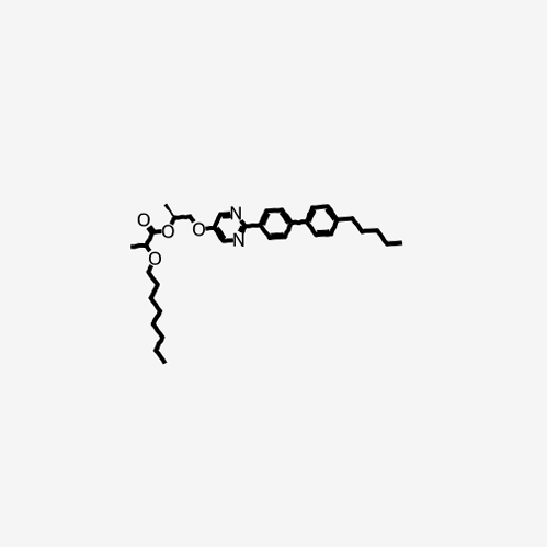 CCCCCCCCOC(C)C(=O)O[C@@H](C)COc1cnc(-c2ccc(-c3ccc(CCCCC)cc3)cc2)nc1